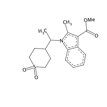 COC(=O)c1c(C)n(C(C)C2CCS(=O)(=O)CC2)c2ccccc12